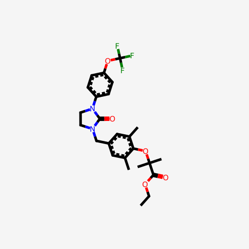 CCOC(=O)C(C)(C)Oc1c(C)cc(CN2CCN(c3ccc(OC(F)(F)F)cc3)C2=O)cc1C